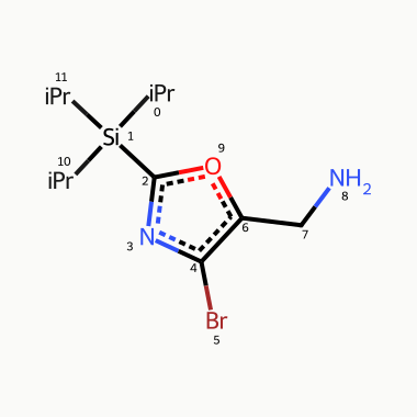 CC(C)[Si](c1nc(Br)c(CN)o1)(C(C)C)C(C)C